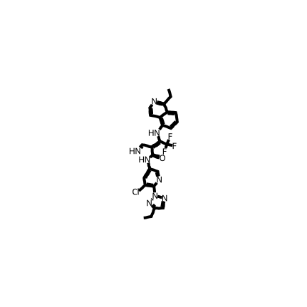 CCc1cnn(-c2ncc(NC(=O)/C(C=N)=C(/Nc3cccc4c(CC)nccc34)C(F)(F)F)cc2Cl)n1